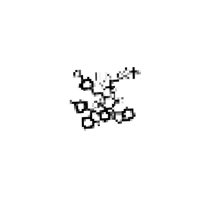 Cc1ccc([C@@](OC(=O)CC(C(=O)N(C)CC(Cc2ccc(Cl)cc2)N(C)C(=O)C(N)CO[Si](C)(C)C(C)(C)C)[C@@H]2CCc3ccccc32)(c2ccccc2)c2ccccc2Cl)cc1